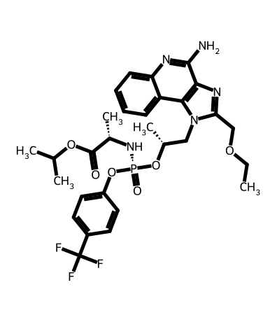 CCOCc1nc2c(N)nc3ccccc3c2n1C[C@@H](C)O[P@](=O)(N[C@@H](C)C(=O)OC(C)C)Oc1ccc(C(F)(F)F)cc1